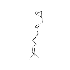 C[SiH](C)CCCCOCC1CO1